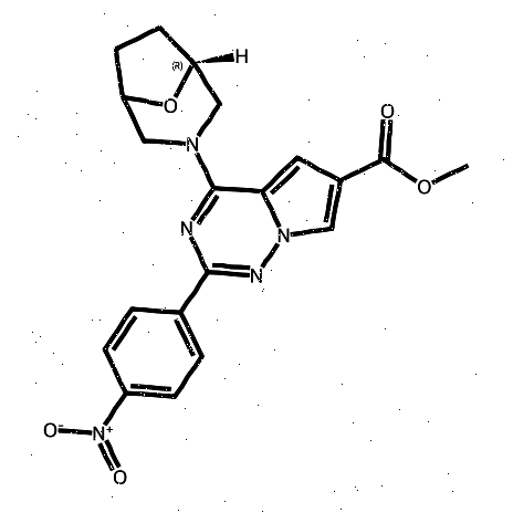 COC(=O)c1cc2c(N3CC4CC[C@H](C3)O4)nc(-c3ccc([N+](=O)[O-])cc3)nn2c1